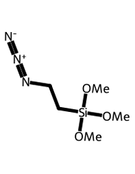 CO[Si](CCN=[N+]=[N-])(OC)OC